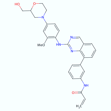 C=CC(=O)Nc1cccc(-c2cccc3cnc(Nc4ccc(N5CCOC(CO)C5)cc4OC)nc23)c1